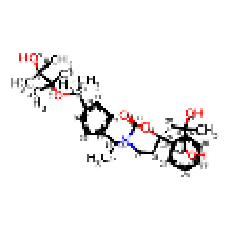 CB(OC(C)(C)C(C)(C)O)c1ccc([C@H](C)N2CC[C@](CC(C)(O)CO)(c3ccccc3)OC2=O)cc1